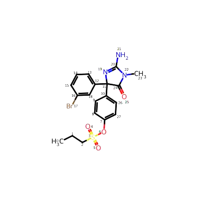 CCCS(=O)(=O)Oc1ccc(C2(c3cccc(Br)c3)N=C(N)N(C)C2=O)cc1